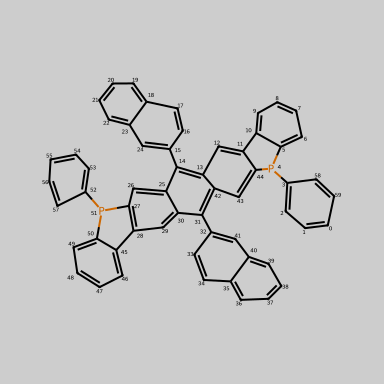 c1ccc(-p2c3ccccc3c3cc4c(-c5ccc6ccccc6c5)c5cc6c(cc5c(-c5ccc7ccccc7c5)c4cc32)c2ccccc2p6-c2ccccc2)cc1